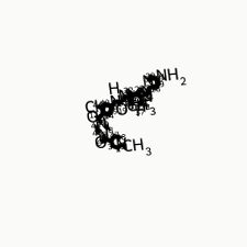 CN1CCC(C(=O)N2CCN(C(=O)c3ccc(NC(=O)c4ncc(-c5cn(-c6ccc(N)cn6)nc5C(F)(F)F)n4C)cc3Cl)CC2)CC1